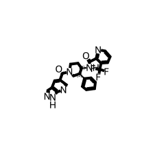 O=C(N[C@@H]1CCN(C(=O)c2cnc3[nH]ncc3c2)C[C@@H]1c1ccccc1)c1ncccc1C(F)(F)F